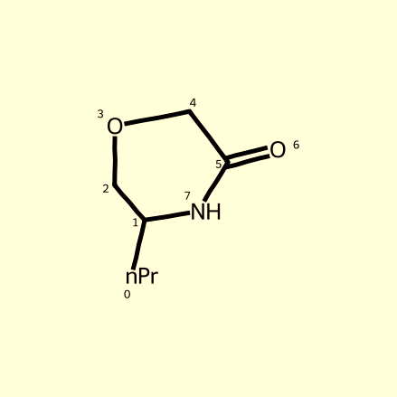 CCCC1COCC(=O)N1